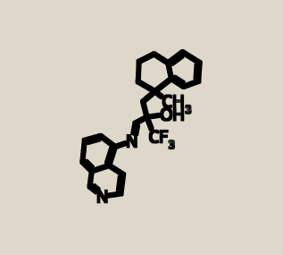 CC1(CC(O)(C=Nc2cccc3cnccc23)C(F)(F)F)CCCc2ccccc21